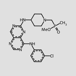 COP(C)(=O)CN1CCC(Nc2ncc3ncnc(Nc4cccc(Cl)c4)c3n2)CC1